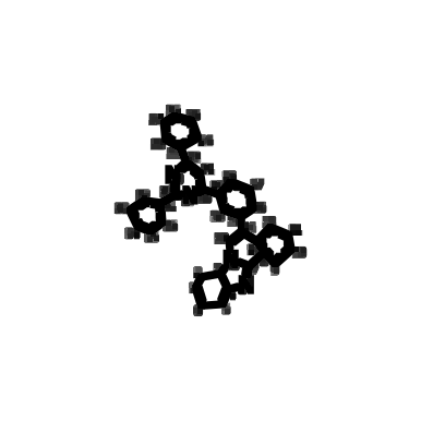 C1=CCC2C(=C1)N=C1c3ccccc3C(c3cccc(-c4cc(-c5ccccc5)nc(-c5ccccc5)n4)c3)=CN12